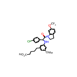 COc1cc(CCCCC(=O)O)cc(NC(C(=O)N2CCc3ccc(OC(F)(F)F)cc32)c2ccc(Cl)cc2)c1